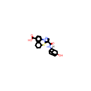 O=C(O)c1ccc(-n2ncc(C(=O)N[C@H]3C4CC5CC3C[C@@](O)(C5)C4)c2SC2CCCCC2)cc1